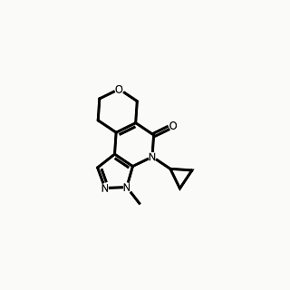 Cn1ncc2c3c(c(=O)n(C4CC4)c21)COCC3